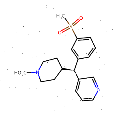 CS(=O)(=O)c1cccc([C@@H](c2cccnc2)C2CCN(C(=O)O)CC2)c1